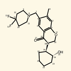 Cc1cc2c(cc1CN1CCC(F)(F)CC1)C(=O)N([C@@H]1CCCC[C@H]1O)CO2